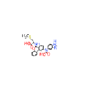 CSCCC(NC(=O)c1ccc(N(C(=O)O)c2ccc3[nH]cnc3c2)cc1-c1ccccc1)C(=O)O